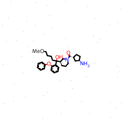 COCCCC[C@@](O)(c1ccccc1Oc1ccccc1)[C@@H]1CCCN(C(=O)[C@@H]2CC[C@H](N)C2)C1